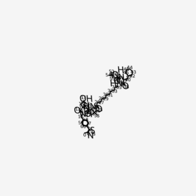 Cc1ncsc1-c1ccc(CNC(=O)[C@H]2C[C@H](O)CN2C(=O)[C@@H](NC(=O)CCCCCCCCCCNC(=O)[C@H](CC2CCCCC2)NC(=O)OC(C)(C)C)C(C)(C)C)cc1